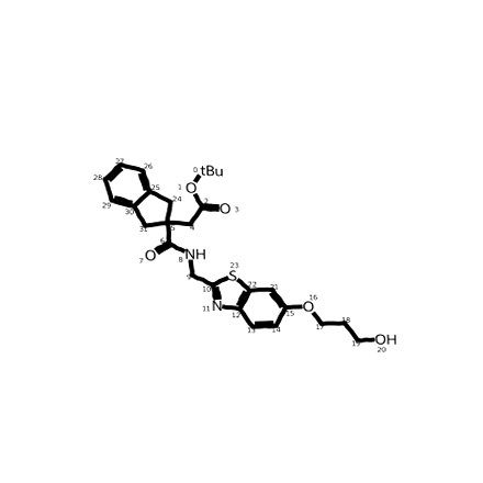 CC(C)(C)OC(=O)CC1(C(=O)NCc2nc3ccc(OCCCO)cc3s2)Cc2ccccc2C1